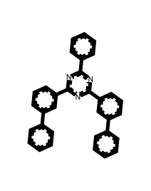 c1ccc(-c2cccc(-c3nc(-c4ccccc4)nc(-c4cccc(-c5ccccc5)c4)n3)c2)cc1